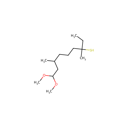 CCC(C)(S)CCCC(C)CC(OC)OC